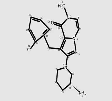 Cn1ccn2nc(N3CCC[C@@H](N)C3)c(Cc3ccccc3Cl)c2c1=O